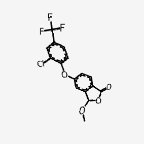 COC1OC(=O)c2ccc(Oc3ccc(C(F)(F)F)cc3Cl)cc21